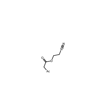 CC(=O)CC(=O)OCC[N+]#N